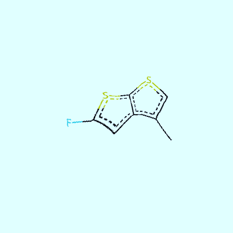 Cc1csc2sc(F)cc12